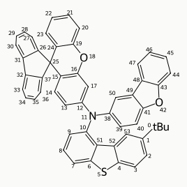 CC(C)(C)c1ccc2sc3cccc(N(c4ccc5c(c4)Oc4ccccc4C54c5ccccc5-c5ccccc54)c4ccc5oc6ccccc6c5c4)c3c2c1